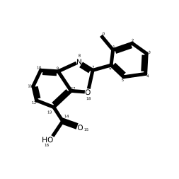 Cc1ccccc1-c1nc2cccc(C(=O)O)c2o1